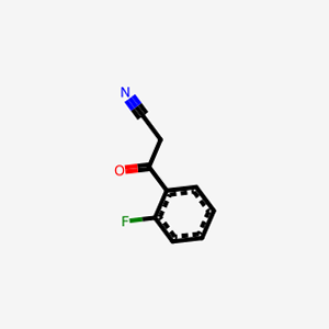 N#CCC(=O)c1ccccc1F